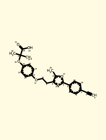 C#Cc1ccc(-c2nc(CCOc3ccc(OC(C)(C)C(=O)O)cc3)c(C)o2)cc1